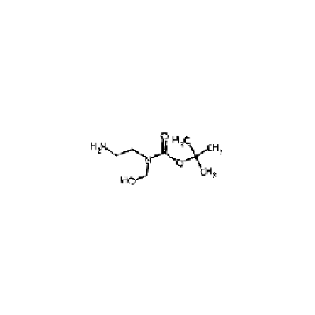 CC(C)(C)OC(=O)N(CO)CCN